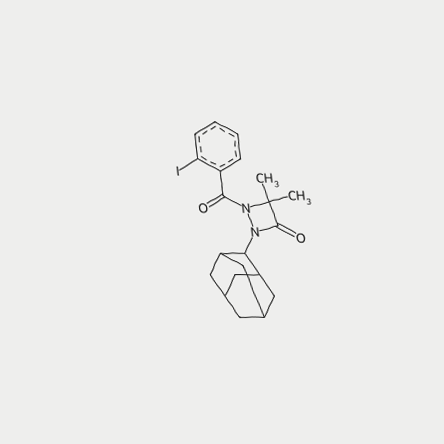 CC1(C)C(=O)N(C2C3CC4CC(C3)CC2C4)N1C(=O)c1ccccc1I